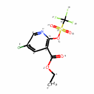 CCOC(=O)c1cc(Cl)cnc1OS(=O)(=O)C(F)(F)F